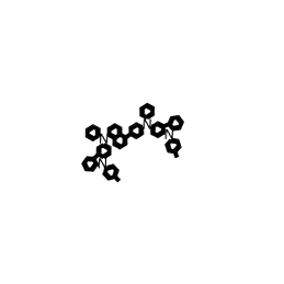 Cc1ccc(-n2c3ccccc3c3cc(N(c4ccccc4)c4ccc(-c5cccc6c(N(c7ccccc7)c7ccc8c(c7)c7ccccc7n8-c7ccc(C)cc7)cccc56)cc4)ccc32)cc1